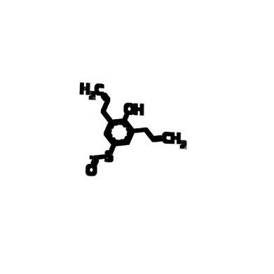 C=CCc1cc(S[C]=O)cc(CC=C)c1O